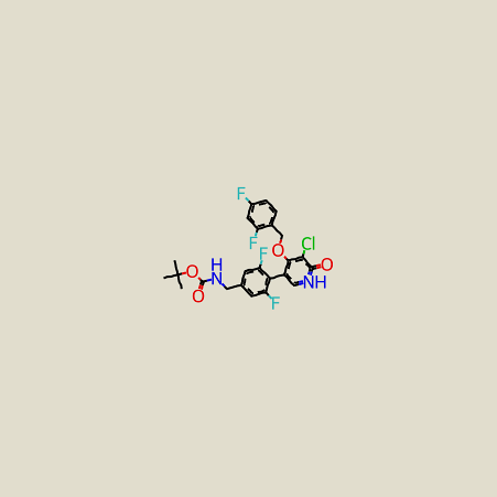 CC(C)(C)OC(=O)NCc1cc(F)c(-c2c[nH]c(=O)c(Cl)c2OCc2ccc(F)cc2F)c(F)c1